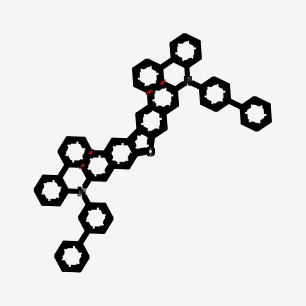 c1ccc(-c2ccc(N(c3ccc4cc5c(cc4c3)oc3cc4cc(N(c6cccc(-c7ccccc7)c6)c6ccccc6-c6ccccc6)ccc4cc35)c3ccccc3-c3ccccc3)cc2)cc1